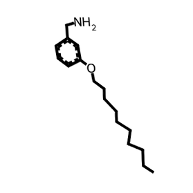 CCCCCCCCCCOc1cccc(CN)c1